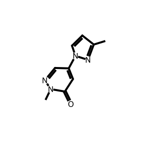 Cc1ccn(-c2cnn(C)c(=O)c2)n1